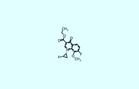 CCOC(=O)c1cn([C@@H]2C[C@H]2F)c2c(OC)c(F)ccc2c1=O